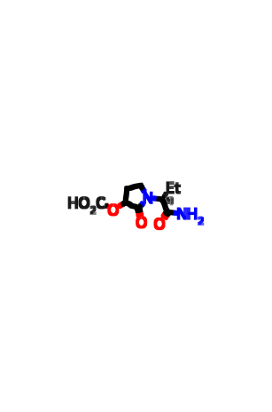 CC[C@@H](C(N)=O)N1CCC(OC(=O)O)C1=O